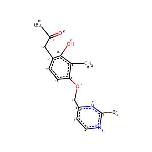 Cc1c(OCc2ccnc(Br)n2)ccc(CC(=O)C(C)(C)C)c1O